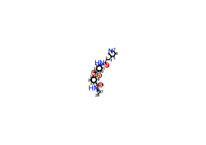 O=C(C=Cc1cccnc1)Nc1ccc(S(=O)(=O)c2cccc(C(=O)NC3CC3)c2)cc1